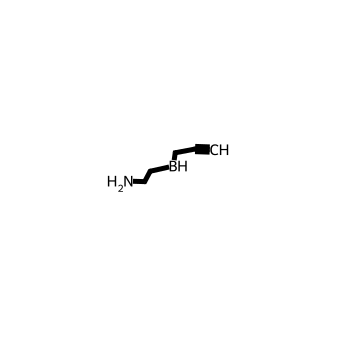 C#CCBCCN